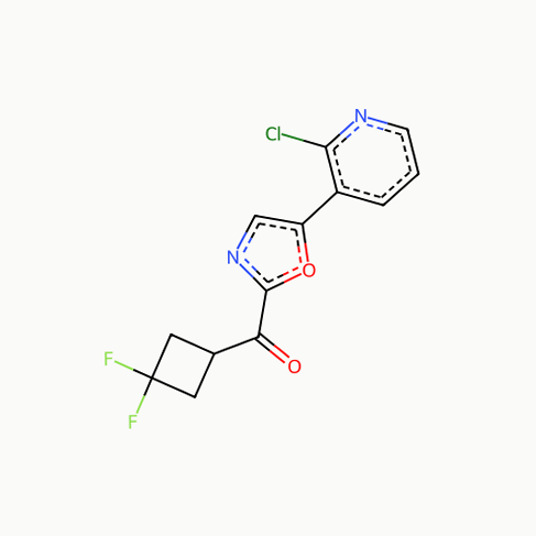 O=C(c1ncc(-c2cccnc2Cl)o1)C1CC(F)(F)C1